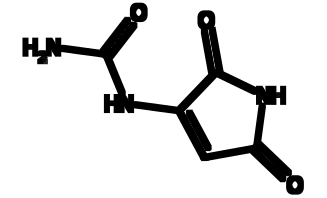 NC(=O)NC1=CC(=O)NC1=O